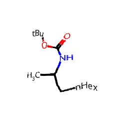 CCCCCCCC(C)NC(=O)OC(C)(C)C